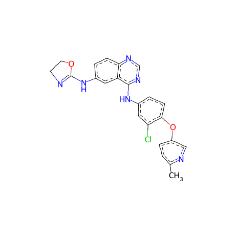 Cc1ccc(Oc2ccc(Nc3ncnc4ccc(NC5=NCCO5)cc34)cc2Cl)cn1